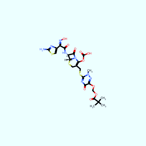 Cn1nc(OCOC(=O)C(C)(C)C)c(=O)nc1SCC1=C(OC(=O)O)N2C(=O)[C@@H](NC(=O)/C(=N\O)c3csc(N)n3)[C@H]2SC1